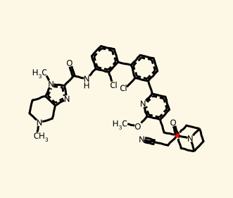 COc1nc(-c2cccc(-c3cccc(NC(=O)c4nc5c(n4C)CCN(C)C5)c3Cl)c2Cl)ccc1CN1CC2CC(C1)N2C(=O)CC#N